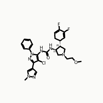 COCCN1C[C@@H](NC(=O)Nc2c(Cl)c(-c3cnn(C)c3)nn2-c2ccccc2)[C@H](C2C=C(F)C(F)=CC2)C1